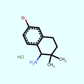 CC1(C)CCc2cc(Br)ccc2C1N.Cl